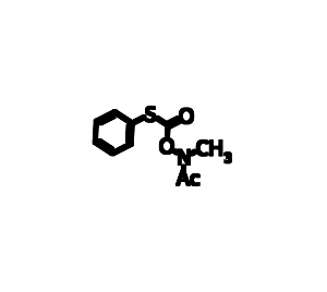 [CH2]C(=O)N(C)OC(=O)Sc1ccccc1